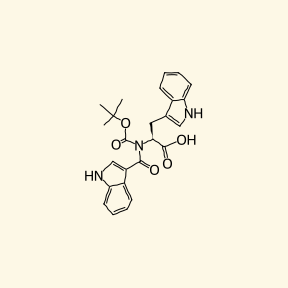 CC(C)(C)OC(=O)N(C(=O)c1c[nH]c2ccccc12)[C@@H](Cc1c[nH]c2ccccc12)C(=O)O